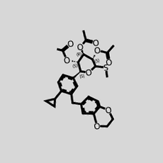 CSC1O[C@@H](c2ccc(C3CC3)c(Cc3ccc4c(c3)OCCO4)c2)[C@H](OC(C)=O)[C@@H](OC(C)=O)[C@@H]1OC(C)=O